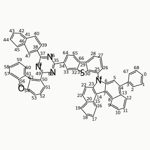 c1ccc(-c2cc3c(c4ccccc24)c2c4ccccc4ccc2n3-c2cccc3c2sc2cc(-c4nc(-c5ccc6ccccc6c5)nc(-c5cccc6oc7ccccc7c56)n4)ccc23)cc1